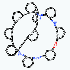 c1cc2cc(c1)oc1cccc(c1)[nH]c1ccccc1[nH]c1c3cccc1c1cccc(c1)c1cccc(c1)c1cccc(c4cccc(c4)c4cccc3c4)c1[nH]c1ccccc1[nH]2